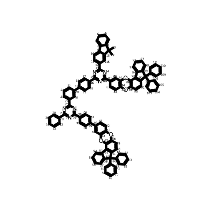 CC1(C)c2ccccc2-c2ccc(-c3nc(-c4ccc(-c5cccc(-c6nc(-c7ccccc7)nc(-c7ccc(-c8ccc9c(c8)Oc8c(ccc%10c8-c8ccccc8C%10(c8ccccc8)c8ccccc8)O9)cc7)n6)c5)cc4)nc(-c4ccc5c(c4)Oc4c(ccc6c4-c4ccccc4C6(c4ccccc4)c4ccccc4)O5)n3)cc21